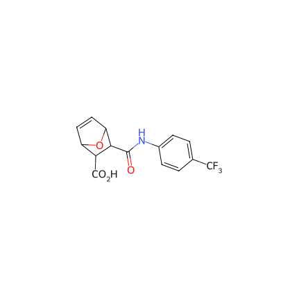 O=C(O)C1C2C=CC(O2)C1C(=O)Nc1ccc(C(F)(F)F)cc1